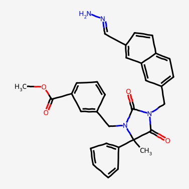 COC(=O)c1cccc(CN2C(=O)N(Cc3ccc4ccc(C=NN)cc4c3)C(=O)C2(C)c2ccccc2)c1